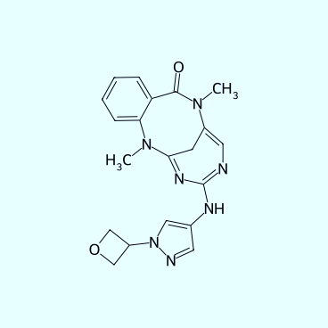 CN1C(=O)c2ccccc2N(C)C2=NC(Nc3cnn(C4COC4)c3)=NC=C1C2